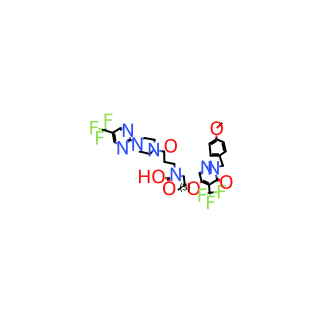 COc1ccc(Cn2ncc(O[C@@H](C)CN(CCC(=O)N3CCN(c4ncc(C(F)(F)F)cn4)CC3)C(=O)O)c(C(F)(F)F)c2=O)cc1